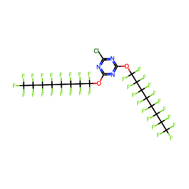 FC(F)(F)C(F)(F)C(F)(F)C(F)(F)C(F)(F)C(F)(F)C(F)(F)C(F)(F)Oc1nc(Cl)nc(OC(F)(F)C(F)(F)C(F)(F)C(F)(F)C(F)(F)C(F)(F)C(F)(F)C(F)(F)F)n1